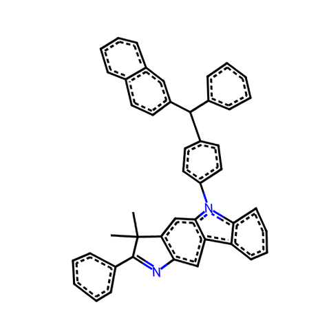 CC1(C)C(c2ccccc2)=Nc2cc3c4ccccc4n(-c4ccc(C(c5ccccc5)c5ccc6ccccc6c5)cc4)c3cc21